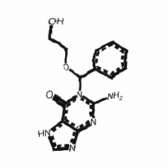 Nc1nc2nc[nH]c2c(=O)n1C(OCCO)c1ccccc1